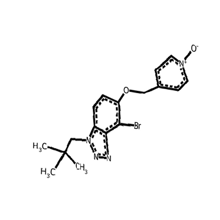 CC(C)(C)Cn1nnc2c(Br)c(OCc3cc[n+]([O-])cc3)ccc21